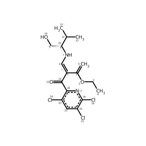 C=C(OCC)/C(=C\N[C@H](CO)C(C)C)C(=O)c1nc(Cl)c(Cl)cc1Cl